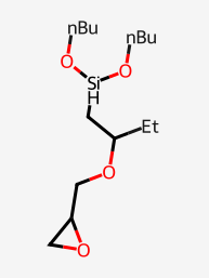 CCCCO[SiH](CC(CC)OCC1CO1)OCCCC